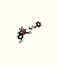 COc1ccc2c(c1)[C@]13CCN(C)[C@H](C2)[C@]1(O)C[C@H](CCOCc1ccccc1)C(=O)C3